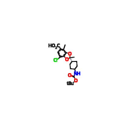 Cc1c(C(=O)O)cc(Cl)c2c1OC(C)([C@H]1CC[C@H](NC(=O)OC(C)(C)C)CC1)O2